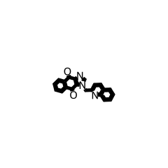 O=C1c2ccccc2C(=O)c2c1ncn2Cc1ccc2ccccc2n1